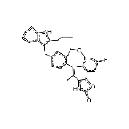 CCCc1[nH]c2ccccc2c1Cc1ccc2c(c1)COc1cc(F)ccc1/C2=C(/C)c1noc(=O)[nH]1